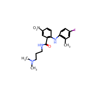 Cc1cc(I)ccc1Nc1ccc([N+](=O)[O-])cc1C(=O)NCCCN(C)C